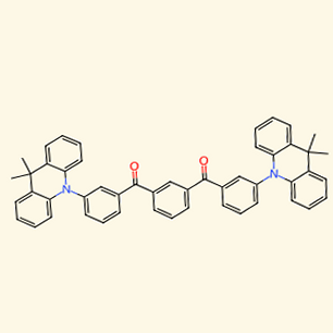 CC1(C)c2ccccc2N(c2cccc(C(=O)c3cccc(C(=O)c4cccc(N5c6ccccc6C(C)(C)c6ccccc65)c4)c3)c2)c2ccccc21